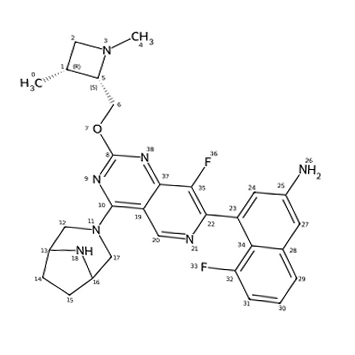 C[C@@H]1CN(C)[C@@H]1COc1nc(N2CC3CCC(C2)N3)c2cnc(-c3cc(N)cc4cccc(F)c34)c(F)c2n1